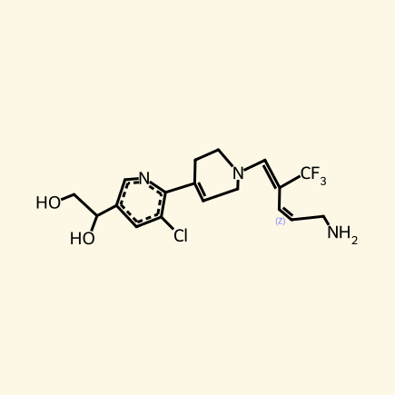 NC/C=C\C(=CN1CC=C(c2ncc(C(O)CO)cc2Cl)CC1)C(F)(F)F